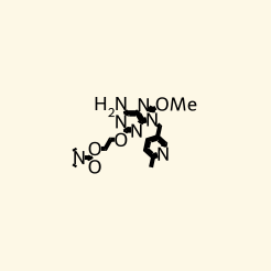 COc1nc2c(N)nc(OCCOC(=O)N(C)C)nc2n1Cc1ccc(C)nc1